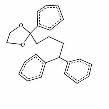 c1ccc(C(CCCC2(c3ccccc3)OCCO2)c2ccccc2)cc1